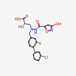 O=C(NN(Cc1ccc(-c2cccc(Cl)c2)c(F)c1)CC(O)C(=O)O)c1cc(O)no1